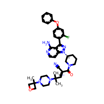 CC(C)(/C=C(\C#N)C(=O)N1CCC[C@@H](n2nc(-c3ccc(Oc4ccccc4)cc3F)c3c(N)nccc32)C1)N1CCN(C2(C)COC2)CC1